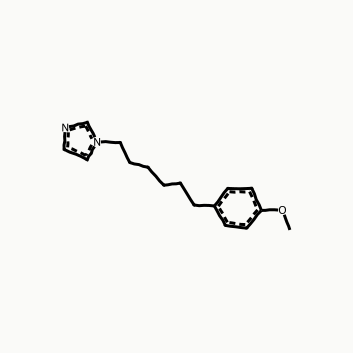 COc1ccc(CCCCCCn2ccnc2)cc1